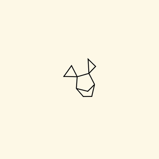 C1CC2CC1C1(CC1)C21CC1